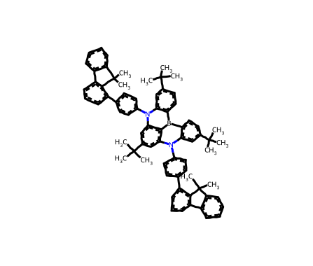 CC(C)(C)c1ccc2c(c1)N(c1ccc(-c3cccc4c3C(C)(C)c3ccccc3-4)cc1)c1cc(C(C)(C)C)cc3c1B2c1ccc(C(C)(C)C)cc1N3c1ccc(-c2cccc3c2C(C)(C)c2ccccc2-3)cc1